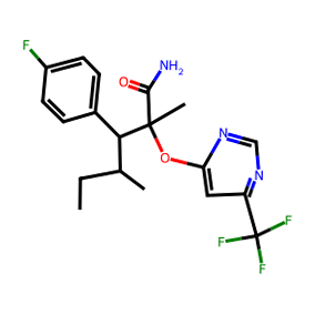 CCC(C)C(c1ccc(F)cc1)C(C)(Oc1cc(C(F)(F)F)ncn1)C(N)=O